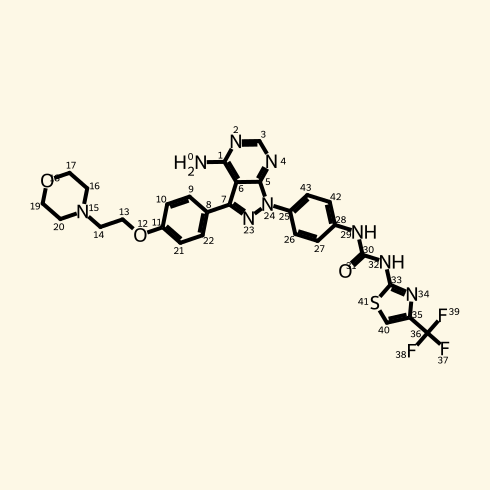 Nc1ncnc2c1c(-c1ccc(OCCN3CCOCC3)cc1)nn2-c1ccc(NC(=O)Nc2nc(C(F)(F)F)cs2)cc1